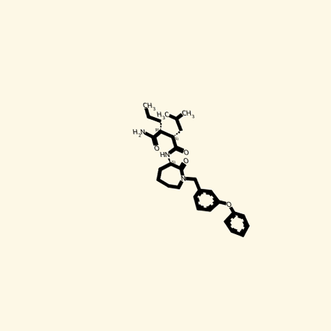 CCC[C@@H](C(N)=O)[C@H](CC(C)C)C(=O)N[C@H]1CCCCN(Cc2cccc(Oc3ccccc3)c2)C1=O